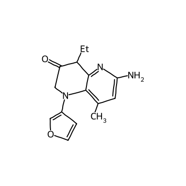 CCC1C(=O)CN(c2ccoc2)c2c(C)cc(N)nc21